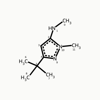 CNc1cc(C(C)(C)C)nn1C